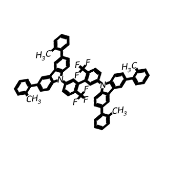 Cc1ccccc1-c1ccc2c(c1)c1cc(-c3ccccc3C)ccc1n2-c1ccc(C(F)(F)F)c(-c2cc(-n3c4ccc(-c5ccccc5C)cc4c4cc(-c5ccccc5C)ccc43)ccc2C(F)(F)F)c1